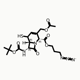 CC(=O)OCC1=CC(S)[C@H]2[C@@H](NC(=O)OC(C)(C)C)C(=O)N2[C@H]1C(=O)OCCCN=[N+]=[N-]